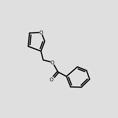 O=C(OCc1ccoc1)c1ccccc1